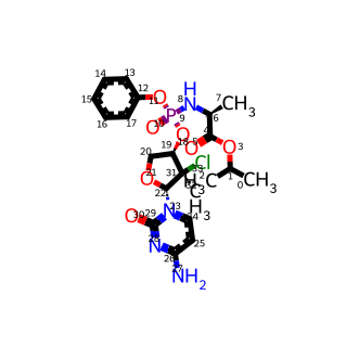 CC(C)OC(=O)[C@H](C)NP(=O)(Oc1ccccc1)O[C@@H]1CO[C@@H](n2ccc(N)nc2=O)[C@]1(C)Cl